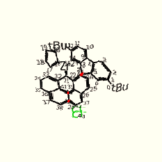 CC(C)(C)c1ccc2c(c1)Cc1c-2ccc(C(C)(C)C)[c]1[Zr+2]([C]1=CC=CC1)=[C](c1cccc2ccccc12)c1cccc2ccccc12.[Cl-].[Cl-]